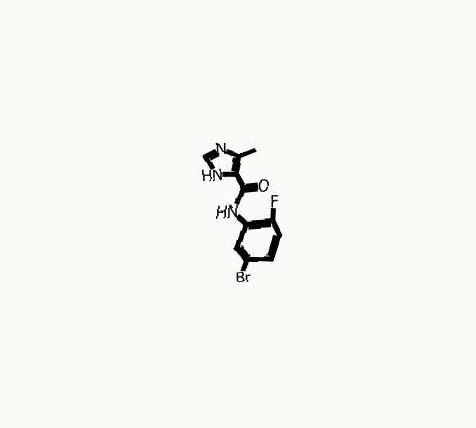 Cc1nc[nH]c1C(=O)Nc1cc(Br)ccc1F